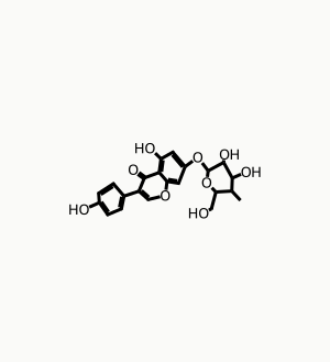 CC1C(CO)OC(Oc2cc(O)c3c(=O)c(-c4ccc(O)cc4)coc3c2)C(O)C1O